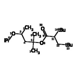 CC(C)OC(C)CC(C)(C)OC(=O)C(CC(C)(C)C)C(C)(C)C